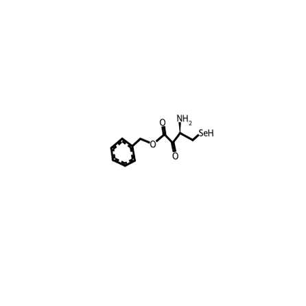 N[C@@H](C[SeH])C(=O)C(=O)OCc1ccccc1